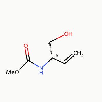 C=C[C@@H](CO)NC(=O)OC